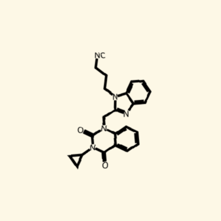 [C-]#[N+]CCCn1c(Cn2c(=O)n(C3CC3)c(=O)c3ccccc32)nc2ccccc21